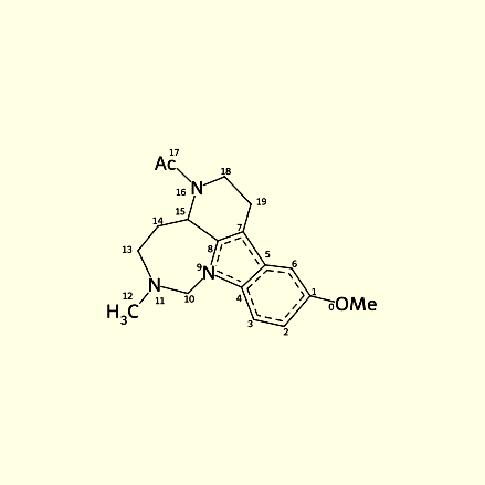 COc1ccc2c(c1)c1c3n2CN(C)CCC3N(C(C)=O)CC1